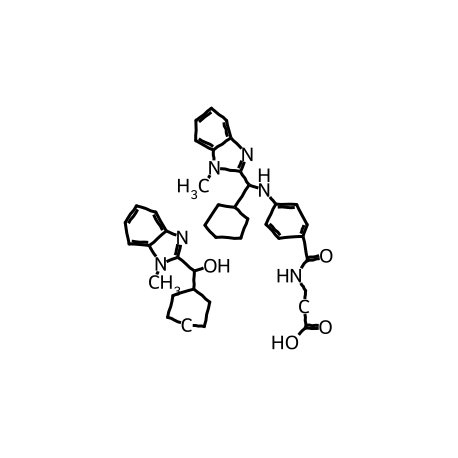 Cn1c(C(Nc2ccc(C(=O)NCCC(=O)O)cc2)C2CCCCC2)nc2ccccc21.Cn1c(C(O)C2CCCCC2)nc2ccccc21